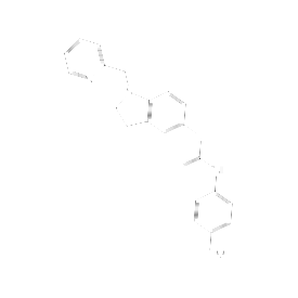 COc1ccc(NC(=O)Oc2ccc3c(c2)CCN3Cc2ccccn2)cc1